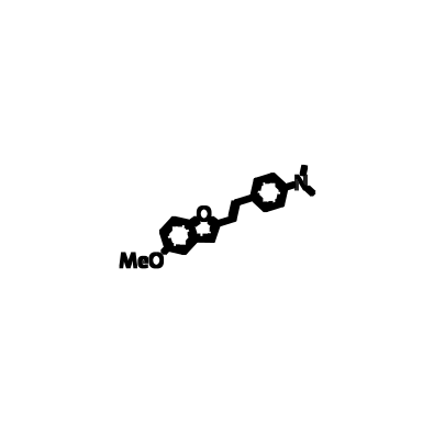 COc1ccc2oc(/C=C/c3ccc(N(C)C)cc3)cc2c1